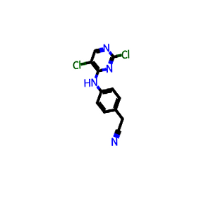 N#CCc1ccc(Nc2nc(Cl)ncc2Cl)cc1